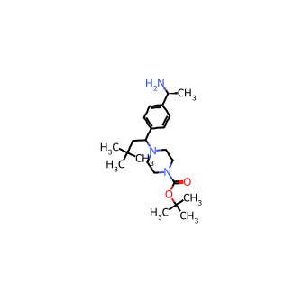 C[C@H](N)c1ccc(C(CC(C)(C)C)N2CCN(C(=O)OC(C)(C)C)CC2)cc1